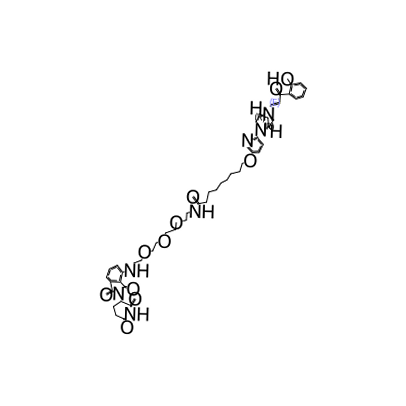 O=C(CCCCCCCCOc1ccc(N2C[C@H]3C[C@@H]2CN3/C=C/C(=O)c2ccccc2O)nc1)NCCOCCOCCOCCNc1cccc2c1C(=O)N(C1CCC(=O)NC1=O)C2=O